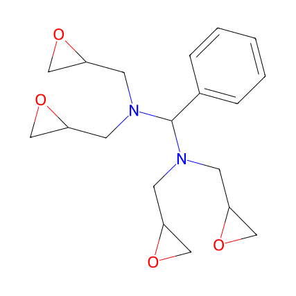 c1ccc(C(N(CC2CO2)CC2CO2)N(CC2CO2)CC2CO2)cc1